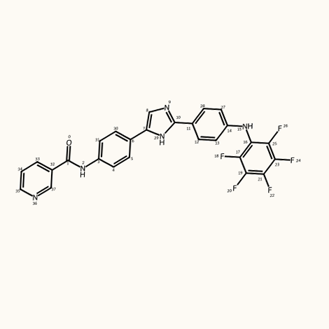 O=C(Nc1ccc(-c2cnc(-c3ccc(Nc4c(F)c(F)c(F)c(F)c4F)cc3)[nH]2)cc1)c1cccnc1